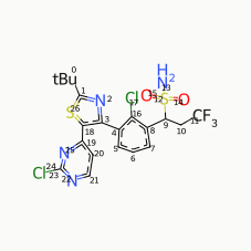 CC(C)(C)c1nc(-c2cccc(C(CC(F)(F)F)S(N)(=O)=O)c2Cl)c(-c2ccnc(Cl)n2)s1